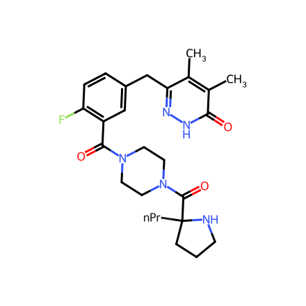 CCCC1(C(=O)N2CCN(C(=O)c3cc(Cc4n[nH]c(=O)c(C)c4C)ccc3F)CC2)CCCN1